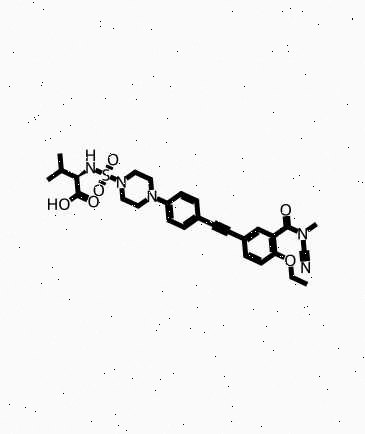 CCOc1ccc(C#Cc2ccc(N3CCN(S(=O)(=O)N[C@@H](C(=O)O)C(C)C)CC3)cc2)cc1C(=O)N(C)C#N